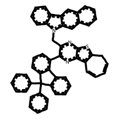 C1=CCc2sc3nc(Cn4c5ccccc5c5cc6ccccc6cc54)c(-c4cccc5c4-c4ccccc4C5(c4ccccc4)c4ccccc4)nc3c2C=C1